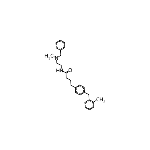 Cc1ccccc1Cc1ccc(CCCC(=O)NCCN(C)Cc2ccccc2)cc1